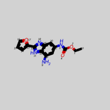 CCOC(=O)Nc1cc(N)c2[nH]c(-c3ccco3)nc2c1